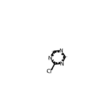 Clc1n[c]n[c]n1